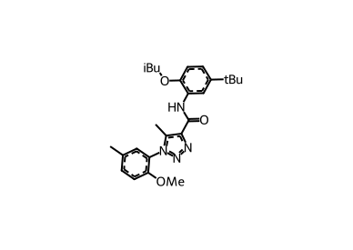 CCC(C)Oc1ccc(C(C)(C)C)cc1NC(=O)c1nnn(-c2cc(C)ccc2OC)c1C